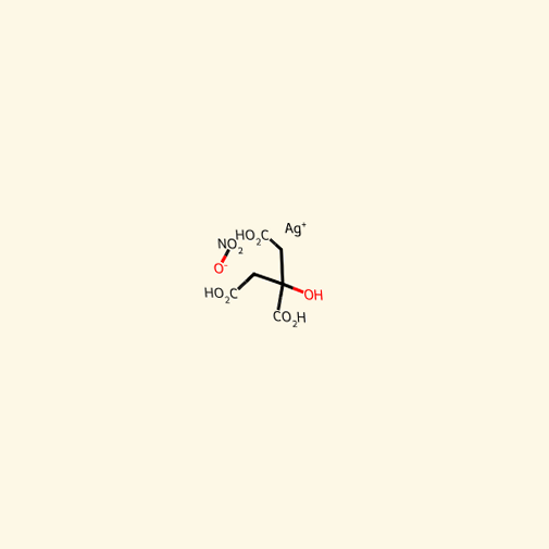 O=C(O)CC(O)(CC(=O)O)C(=O)O.O=[N+]([O-])[O-].[Ag+]